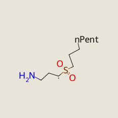 CCCCCCCCS(=O)(=O)[CH]CCN